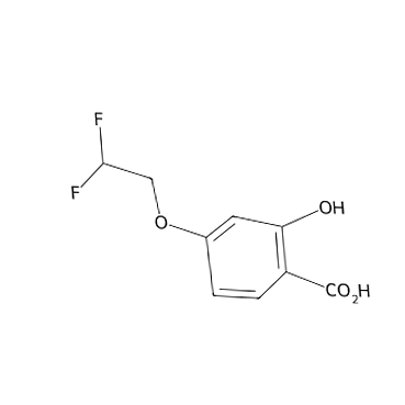 O=C(O)c1ccc(OCC(F)F)cc1O